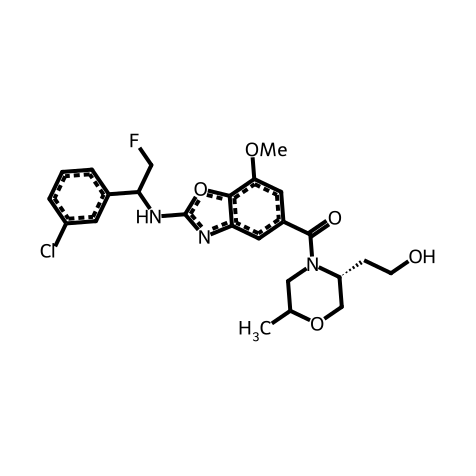 COc1cc(C(=O)N2CC(C)OC[C@H]2CCO)cc2nc(NC(CF)c3cccc(Cl)c3)oc12